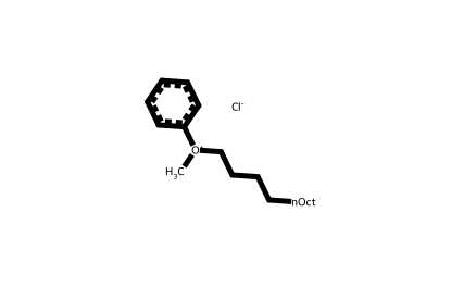 CCCCCCCCCCCC[O+](C)c1ccccc1.[Cl-]